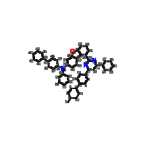 CC1C=CC(c2ccc(-c3cc(-c4ccccc4)nc(-c4cccc5oc6cc(N(c7ccccc7)c7ccc(-c8ccccc8)cc7)ccc6c45)n3)cc2)=CC1